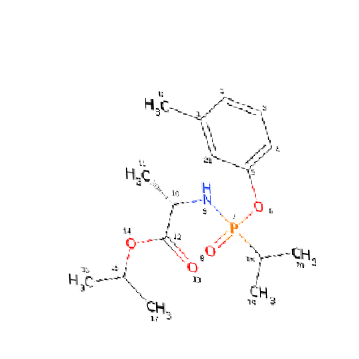 Cc1cccc(OP(=O)(N[C@@H](C)C(=O)OC(C)C)C(C)C)c1